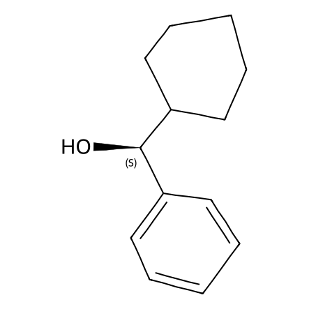 O[C@H](c1ccccc1)C1CCCCC1